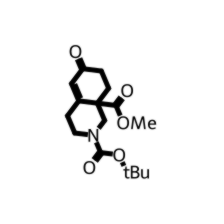 COC(=O)C12CCC(=O)C=C1CCN(C(=O)OC(C)(C)C)C2